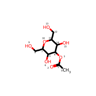 CC(=O)OC1C(O)C(CO)OC(CO)C1O